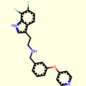 Fc1ccc2c(CCNCc3cccc(Oc4ccncc4)c3)c[nH]c2c1F